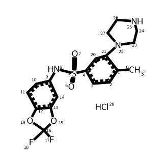 Cc1ccc(S(=O)(=O)Nc2ccc3c(c2)OC(F)(F)O3)cc1N1CCNCC1.Cl